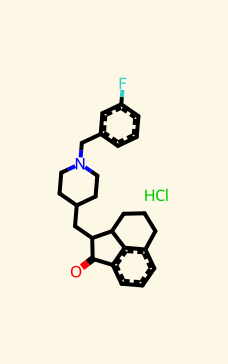 Cl.O=C1c2cccc3c2C(CCC3)C1CC1CCN(Cc2cccc(F)c2)CC1